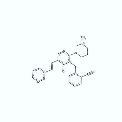 C[C@@H]1CCCN(c2ncc(/C=C/c3cccnc3)c(=O)n2Cc2ccccc2C#N)C1